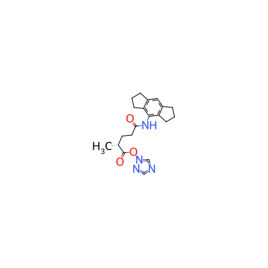 C[C@H](CCC(=O)Nc1c2c(cc3c1CCC3)CCC2)C(=O)On1cncn1